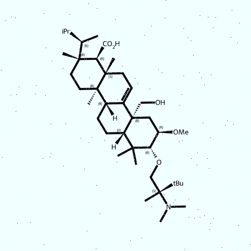 CO[C@@H]1C[C@]2(CO)C3=CC[C@@]4(C)[C@H](C(=O)O)[C@@](C)([C@H](C)C(C)C)CC[C@]4(C)[C@H]3CC[C@H]2C(C)(C)[C@H]1OC[C@@](C)(N(C)C)C(C)(C)C